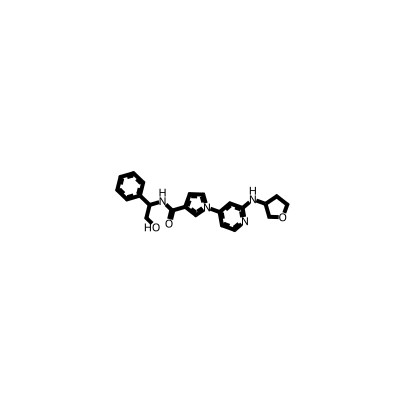 O=C(NC(CO)c1ccccc1)c1ccn(-c2ccnc(NC3CCOC3)c2)c1